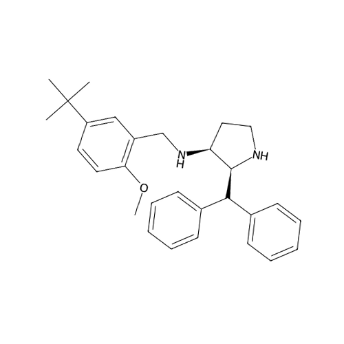 COc1ccc(C(C)(C)C)cc1CN[C@H]1CCN[C@H]1C(c1ccccc1)c1ccccc1